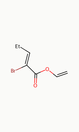 C=COC(=O)C(Br)=CCC